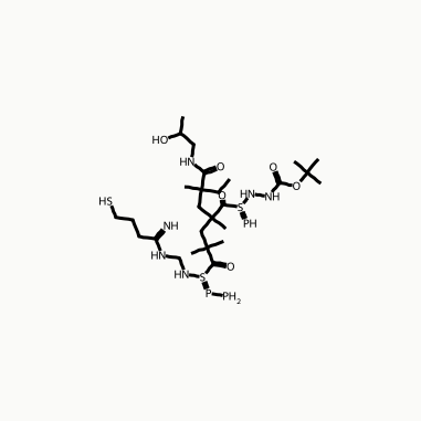 CCC(C)(CC(C)(CC(C)(C)C(=O)/S(NCNC(=N)CCCS)=P\P)C(=O)S(=P)NNC(=O)OC(C)(C)C)C(=O)NCC(C)O